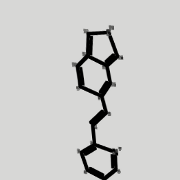 C(=Cc1ccccn1)c1ccc2cscc2c1